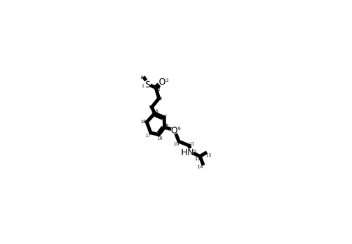 CSC(=O)CCC1=CC(OCCNC(C)C)=CCC1